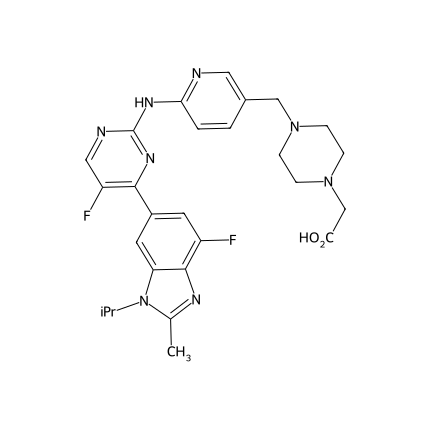 Cc1nc2c(F)cc(-c3nc(Nc4ccc(CN5CCN(CC(=O)O)CC5)cn4)ncc3F)cc2n1C(C)C